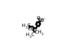 CC(C)CC(=Cc1ccc([N+](=O)[O-])cc1)CC(C)C